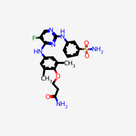 Cc1cc(Nc2nc(Nc3cccc(S(N)(=O)=O)c3)ncc2F)cc(C)c1OCCC(N)=O